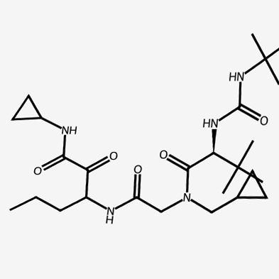 CCCC(NC(=O)CN(CC1CC1)C(=O)[C@@H](NC(=O)NC(C)(C)C)C(C)(C)C)C(=O)C(=O)NC1CC1